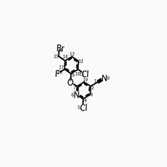 N#Cc1cc(Cl)nc(Oc2c(Cl)ccc(CBr)c2F)c1